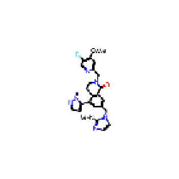 CNc1nccn1Cc1cc2c(c(-c3ccnn3C)c1)CCN(Cc1cc(OC)c(F)cn1)C2=O